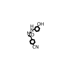 N#Cc1ccc(-c2cnc(Nc3cccc(O)c3)o2)cc1